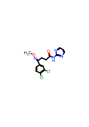 CO/N=C(\CCC(=O)Nc1ncccn1)c1ccc(Cl)c(Cl)c1